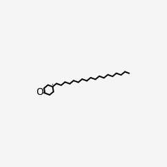 CCCCCCCCCCCCCCCCCC[C]1CCC2OC2C1